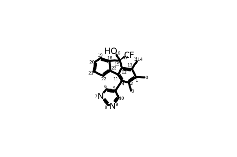 Cc1c(C)c(-c2cncnc2)c2c(c1C)[C@](O)(C(F)(F)F)c1ccccc1-2